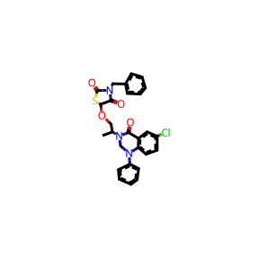 CC(COC1SC(=O)N(Cc2ccccc2)C1=O)N1CN(c2ccccc2)c2ccc(Cl)cc2C1=O